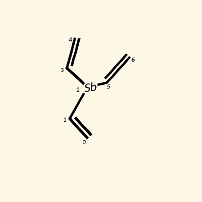 C=[CH][Sb]([CH]=C)[CH]=C